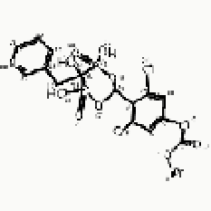 CC(C)OC(=O)Oc1cc(Cl)c(C2OP(=O)(O)C(O)(Cc3cccnc3)P(=O)(O)O2)c(Cl)c1